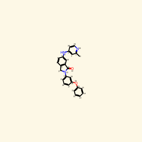 Cc1cc(Nc2ccc3c(c2)C(=O)N(c2cccc(Oc4ccccc4)c2)C3)ccn1